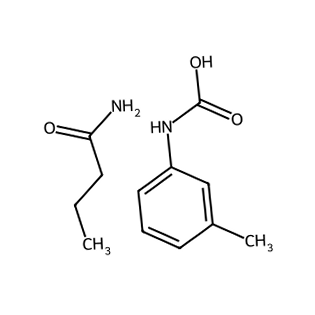 CCCC(N)=O.Cc1cccc(NC(=O)O)c1